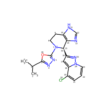 CC(C)c1nnc(N2CCc3[nH]cnc3[C@H]2c2cc3c(Cl)cccn3n2)o1